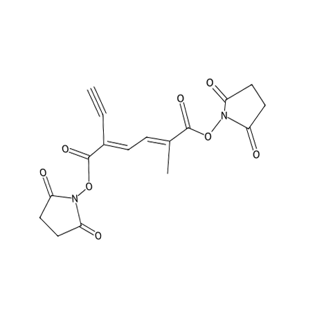 C#C/C(=C\C=C(/C)C(=O)ON1C(=O)CCC1=O)C(=O)ON1C(=O)CCC1=O